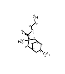 CC1CC2CC(C1)CC(C)(C(=O)OCCS)C2